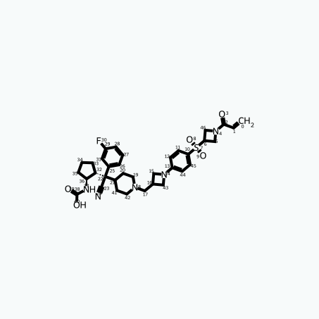 C=CC(=O)N1CC(S(=O)(=O)c2ccc(N3CC(CN4CCC(C(C#N)(c5cccc(F)c5)[C@H]5CCC[C@@H]5NC(=O)O)CC4)C3)cc2)C1